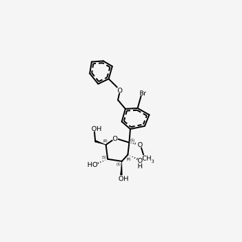 CO[C@@]1(c2ccc(Br)c(COc3ccccc3)c2)O[C@H](CO)[C@@H](O)[C@H](O)[C@H]1O